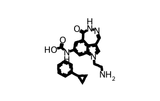 NCCn1cc2c3c(cc(NC(=O)O)cc31)C(=O)NN=C2.c1ccc(C2CC2)cc1